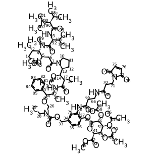 CC[C@H](C)[C@@H]([C@@H](CC(=O)N1CCC[C@H]1[C@H](OC)[C@@H](C)C(=O)N[C@H](C)[C@@H](OCN(CC)C(=O)OCc1ccc(O[C@@H]2O[C@H](C(=O)OC)[C@@H](OC(C)=O)[C@H](OC(C)=O)[C@H]2OC(C)=O)c(NC(=O)CCNC(=O)CCN2C(=O)C=CC2=O)c1)c1ccccc1)OC)N(C)C(=O)[C@@H](NC(=O)[C@H](C(C)C)N(C)C)C(C)C